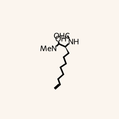 C=CCCCCCC[C@H](NC=O)C(O)NC